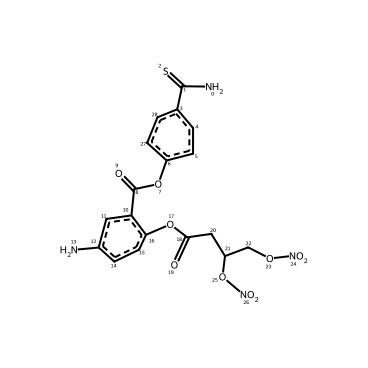 NC(=S)c1ccc(OC(=O)c2cc(N)ccc2OC(=O)CC(CO[N+](=O)[O-])O[N+](=O)[O-])cc1